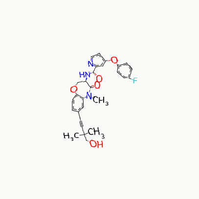 CN1C(=O)[C@H](NC(=O)c2cc(Oc3ccc(F)cc3)ccn2)COc2ccc(C#CC(C)(C)CO)cc21